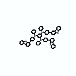 c1ccc(N(c2ccc(-c3ccc4sc5ccccc5c4c3)cc2)c2cc(N(c3ccccc3)c3ccc(-c4cccc5c4oc4ccccc45)cc3)cc(N(c3ccccc3)c3ccc(-c4cccc5c4oc4ccccc45)cc3)c2)cc1